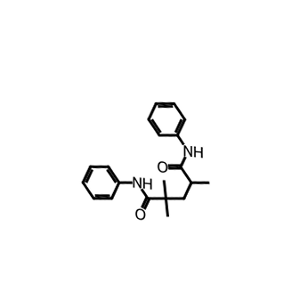 CC(CC(C)(C)C(=O)Nc1ccccc1)C(=O)Nc1ccccc1